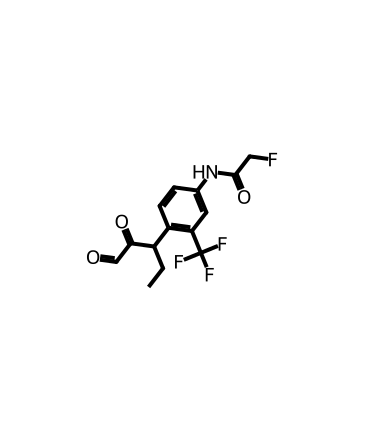 CCC(C(=O)C=O)c1ccc(NC(=O)CF)cc1C(F)(F)F